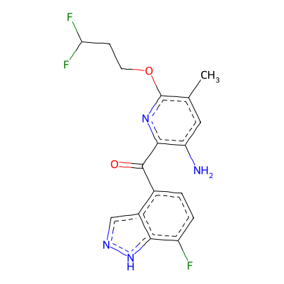 Cc1cc(N)c(C(=O)c2ccc(F)c3[nH]ncc23)nc1OCCC(F)F